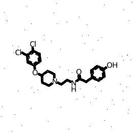 O=C(Cc1ccc(O)cc1)NCCN1CCC(Oc2ccc(Cl)c(Cl)c2)CC1